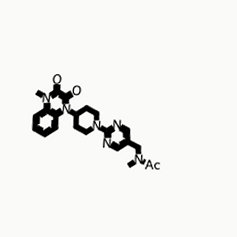 CC(=O)N(C)Cc1cnc(N2CCC(n3c(=O)c(=O)n(C)c4ccccc43)CC2)nc1